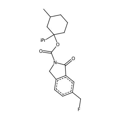 CC1CCCC(OC(=O)N2Cc3ccc(CF)cc3C2=O)(C(C)C)C1